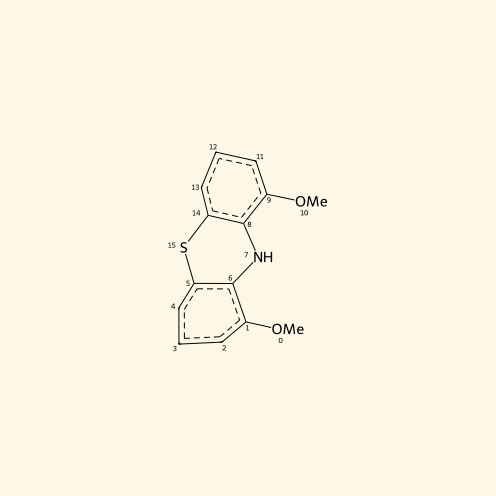 COc1cccc2c1Nc1c(OC)cccc1S2